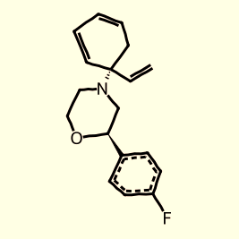 C=C[C@@]1(N2CCO[C@H](c3ccc(F)cc3)C2)C=CC=CC1